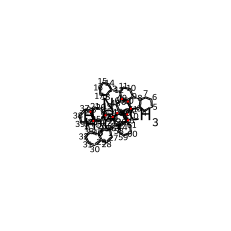 CC1(C)c2ccccc2-c2ccc(-c3ccccc3N(c3cccc(-c4cccc5cccc(-c6ccccc6)c45)c3-c3ccccc3)c3cccc4c3C(C)(C)c3ccccc3-4)cc21